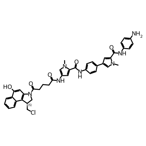 Cn1cc(NC(=O)CCCC(=O)N2C[C@@H](CCl)c3c2cc(O)c2ccccc32)cc1C(=O)Nc1ccc(-c2cc(C(=O)Nc3ccc(N)cc3)n(C)c2)cc1